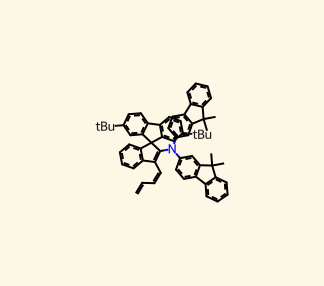 C=C/C=C\C1=C(N(c2ccc3c(c2)C(C)(C)c2ccccc2-3)c2ccc3c(c2)C(C)(C)c2ccccc2-3)C2(c3ccccc31)c1cc(C(C)(C)C)ccc1-c1ccc(C(C)(C)C)cc12